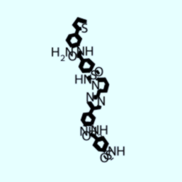 CS(=N)(=O)c1ccc(C(=O)Nc2cc(-c3cnc(-c4cccc(S(=N)(=O)c5ccc(C(=O)Nc6cc(-c7cccs7)ccc6N)cc5)n4)nc3)ccc2N)cc1